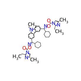 CCc1nc(C)cn1C(=O)O/N=C(/c1ccc2c(c1)c1cc(/C(=N/OC(=O)n3cc(C)nc3CC)C3CCCCC3)ccc1n2CC)C1CCCCC1